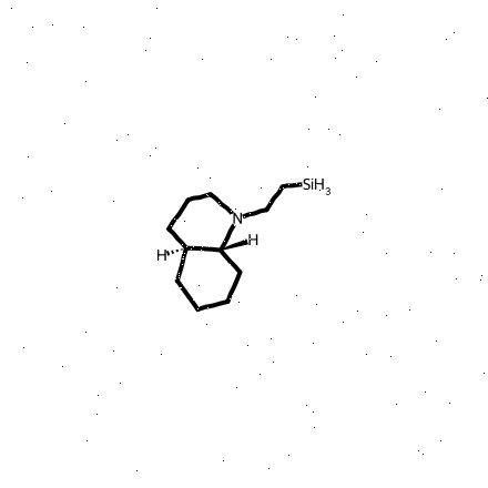 [SiH3]CCN1CCC[C@@H]2CCCC[C@H]21